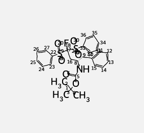 CC(C)(C)OC(=O)N[C@@H](Cc1ccccc1)CC(F)(S(=O)(=O)c1ccccc1)S(=O)(=O)c1ccccc1